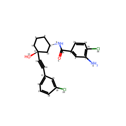 Nc1cc(C(=O)N[C@H]2CCC[C@@](O)(C#Cc3cccc(Cl)c3)C2)ccc1Cl